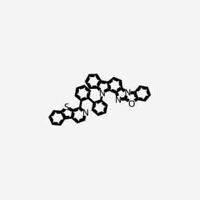 c1ccc(-c2nccc3c2sc2ccccc23)c(-c2ccccc2-n2c3ccccc3c3ccc4c(nc5oc6ccccc6n54)c32)c1